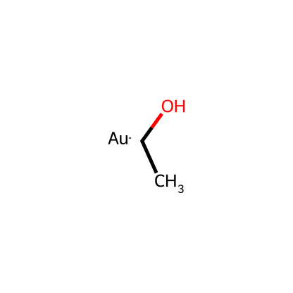 CCO.[Au]